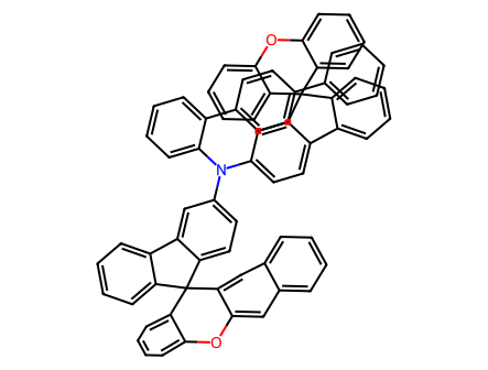 c1ccc(-c2ccc(-c3ccccc3N(c3ccc4c(c3)-c3ccccc3C43c4ccccc4Oc4cc5ccccc5cc43)c3ccc4c(c3)C3(c5ccccc5Oc5ccccc53)c3ccccc3-4)cc2)cc1